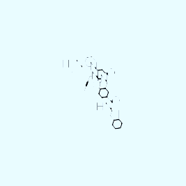 CC#CCn1c(N2CCC[C@@H](N)C2)cc(=O)n(Cc2cccc(C(=O)NCCc3ccccc3F)c2)c1=O